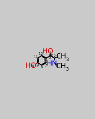 CNC(C)[C@H](O)c1ccc(O)cc1